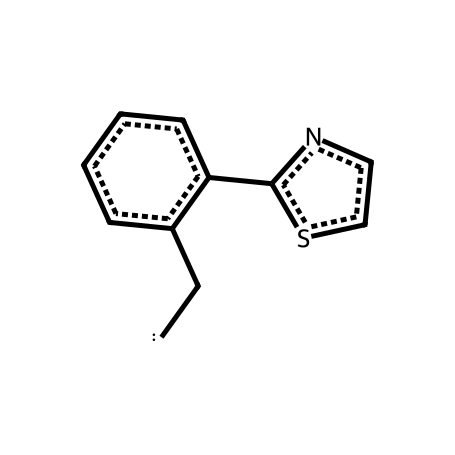 [CH]Cc1ccccc1-c1nccs1